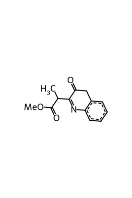 COC(=O)C(C)C1=Nc2ccccc2CC1=O